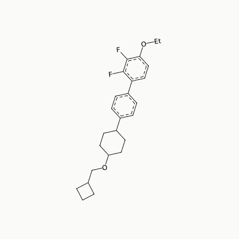 CCOc1ccc(-c2ccc(C3CCC(OCC4CCC4)CC3)cc2)c(F)c1F